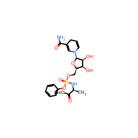 COC(=O)[C@H](C)NP(=O)(OC[C@H]1O[C@@H](N2C=CCC(C(N)=O)=C2)[C@@H](O)[C@H]1O)Oc1ccccc1